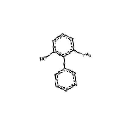 N#Cc1cccc(N)c1-c1cccnc1